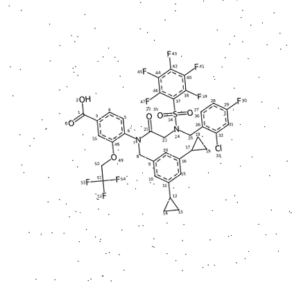 O=C(O)c1ccc(N(Cc2cc(C3CC3)cc(C3CC3)c2)C(=O)CN(Cc2ccc(F)cc2Cl)S(=O)(=O)c2c(F)c(F)c(F)c(F)c2F)c(OCC(F)(F)F)c1